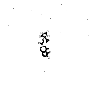 CC1CN(C(=O)CC[C@@]2(C3CC3)NC(=O)NC2=O)CCc2ccc(Cl)c(F)c21